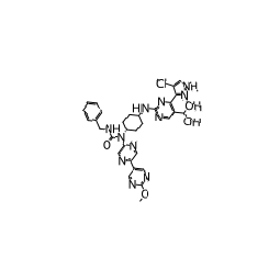 COc1ncc(-c2cnc(N(C(=O)NCc3ccccc3)[C@H]3CC[C@H](Nc4ncc(C(O)O)c(-c5n[nH]cc5Cl)n4)CC3)cn2)cn1